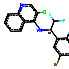 Fc1ccc(Br)cc1[C@@H](Nc1c(Cl)cnc2ccccc12)C(F)F